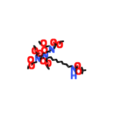 CCOC(=O)CN(CCN(CCN(CC(=O)OCC)CC(=O)OCC)C(CCCCCCCCCNC(=O)OC(C)(C)C)C(=O)OCC)CC(=O)OCC